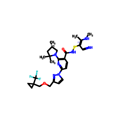 CN/C(C)=C(\C=N)SNC(=O)c1ccc(-n2ccc(COCC3(C(F)(F)F)CC3)n2)nc1N1C[C@@H](C)CC1(C)C